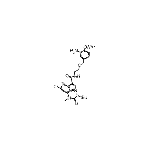 COc1ccc(COCCNC(=O)c2cnn3c(N(C)C(=O)OC(C)(C)C)cc(Cl)nc23)cc1N